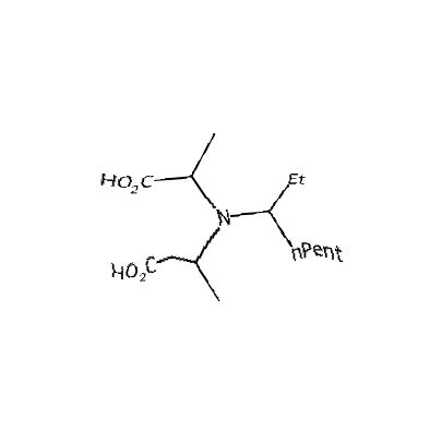 CCCCCC(CC)N(C(C)C(=O)O)C(C)C(=O)O